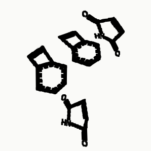 C1=Cc2ccccc21.C1=Cc2ccccc21.O=C1C=CC(=O)N1.O=C1C=CC(=O)N1